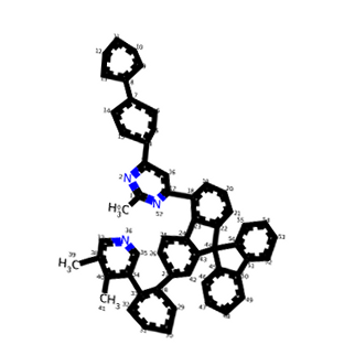 Cc1nc(-c2ccc(-c3ccccc3)cc2)cc(-c2cccc3c2-c2ccc(-c4ccccc4-c4cncc(C)c4C)cc2C32c3ccccc3-c3ccccc32)n1